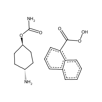 NC(=O)O[C@H]1CC[C@H](N)CC1.O=C(OO)c1cccc2ccccc12